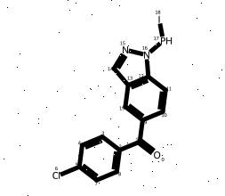 O=C(c1ccc(Cl)cc1)c1ccc2c(cnn2PI)c1